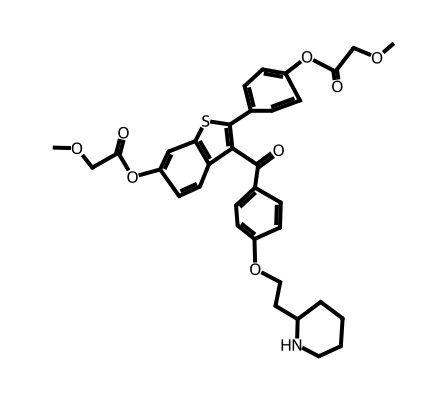 COCC(=O)Oc1ccc(-c2sc3cc(OC(=O)COC)ccc3c2C(=O)c2ccc(OCCC3CCCCN3)cc2)cc1